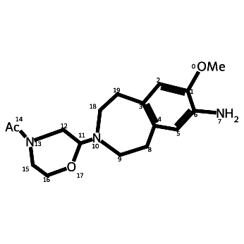 COc1cc2c(cc1N)CCN(C1CN(C(C)=O)CCO1)CC2